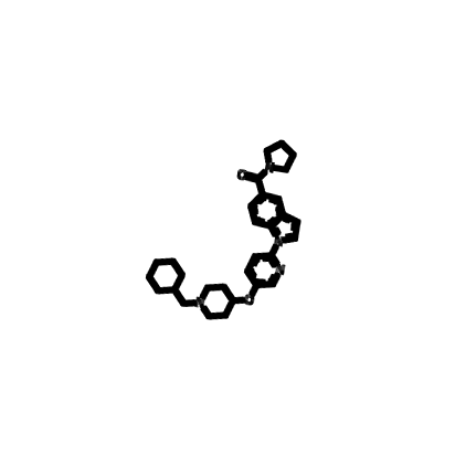 O=C(c1ccc2c(ccn2-c2ccc(OC3CCN(CC4CCCCC4)CC3)cn2)c1)N1CCCC1